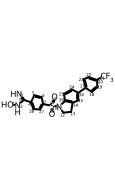 N=C(NO)c1ccc(S(=O)(=O)N2CCc3cc(-c4ccc(C(F)(F)F)cc4)ccc32)cc1